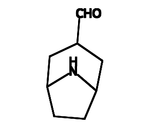 O=CC1CC2CCC(C1)N2